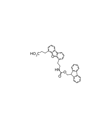 O=C(O)CCc1cccc2c1oc1c(CCNC(=O)OCC3c4ccccc4-c4ccccc43)cccc12